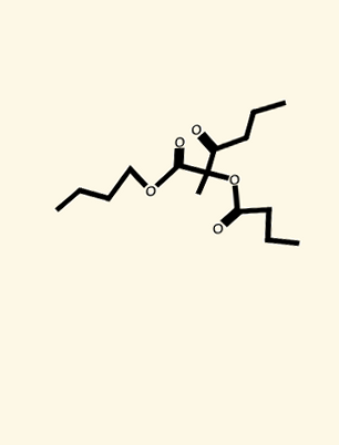 CCCCOC(=O)C(C)(OC(=O)CCC)C(=O)CCC